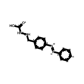 O=C(O)NNCc1ccc(N=Nc2ccccc2)cc1